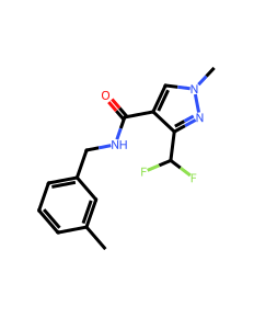 Cc1cccc(CNC(=O)c2cn(C)nc2C(F)F)c1